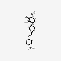 CCCCCC1CCC(OCC2CCC(c3ccc(OCC)c(F)c3F)CO2)CC1